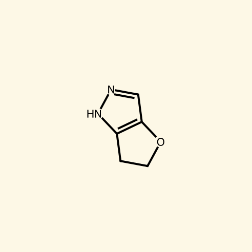 c1n[nH]c2c1OCC2